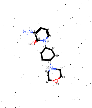 Nc1cccn([C@H]2CC[C@@H](N3CCOCC3)CC2)c1=O